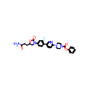 NC(=O)CCC1CN(c2ccc(-c3ccc(N4CCN(C(=O)Oc5ccccc5)CC4)nc3)c(F)c2)C(=O)O1